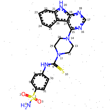 NS(=O)(=O)c1ccc(NC(=S)N2CCN(c3ncnc4[nH]c5ccccc5c34)CC2)cc1